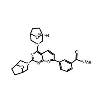 CNC(=O)c1cccc(-c2ccc3c(N4CC5CC[C@@H](C4)O5)nc(N4CC5CCC(C4)O5)nc3n2)c1